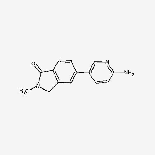 CN1Cc2cc(-c3ccc(N)nc3)ccc2C1=O